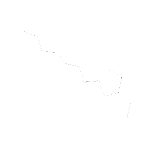 CC[C@H]1CCN(NCCCCCN)C1